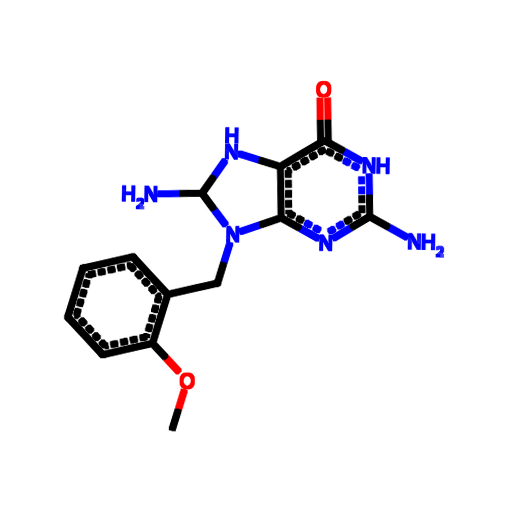 COc1ccccc1CN1c2nc(N)[nH]c(=O)c2NC1N